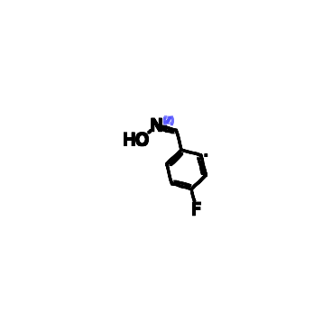 O/N=C\c1[c]cc(F)cc1